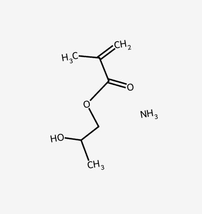 C=C(C)C(=O)OCC(C)O.N